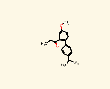 CCC(=O)c1cc(OC)ccc1-c1ccc(C(C)C)cc1